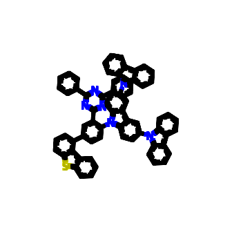 c1ccc(-c2nc(-c3ccccc3)nc(-c3cc(-c4cccc5sc6ccccc6c45)ccc3-n3c4ccc(-n5c6ccccc6c6ccccc65)cc4c4cc(-n5c6ccccc6c6ccccc65)ccc43)n2)cc1